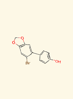 Oc1ccc(-c2cc3c(cc2Br)OCO3)cc1